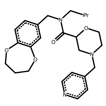 CC(C)CN(Cc1ccc2c(c1)OCCCO2)C(=O)C1CN(Cc2ccncc2)CCO1